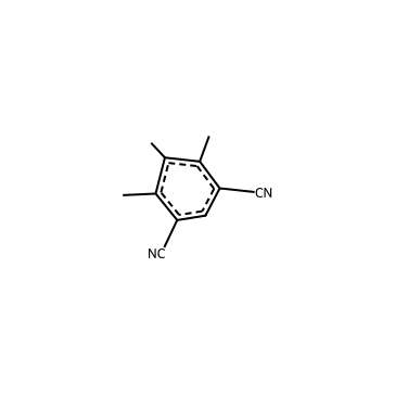 Cc1c(C#N)cc(C#N)c(C)c1C